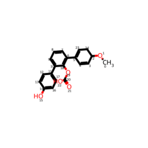 COC1C=CC(c2cccc(-c3ccc(O)cc3)c2OC(=O)O)=CC1